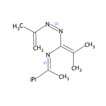 C=C(C)/N=N\C(/N=C(\C)C(C)C)=C(C)C